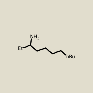 [CH2]CC(N)CCCCCCCC